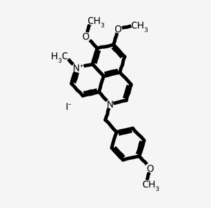 COc1ccc(CN2C=Cc3cc(OC)c(OC)c4c3c2cc[n+]4C)cc1.[I-]